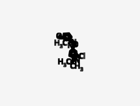 Cc1c(C=O)cccc1-c1noc(-c2ccc3c(c2)c(Cl)nn3C(C)C)n1